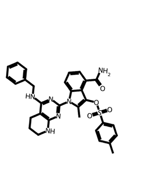 Cc1ccc(S(=O)(=O)Oc2c(C)n(-c3nc4c(c(NCc5ccccc5)n3)CCCN4)c3cccc(C(N)=O)c23)cc1